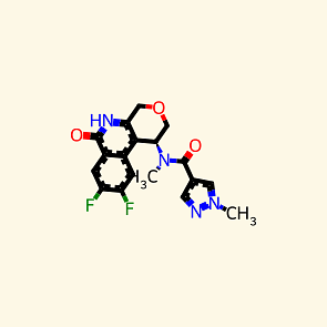 CN(C(=O)c1cnn(C)c1)[C@@H]1COCc2[nH]c(=O)c3cc(F)c(F)cc3c21